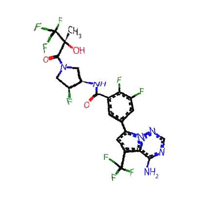 C[C@@](O)(C(=O)N1C[C@H](F)[C@H](NC(=O)c2cc(-c3cc(C(F)(F)F)c4c(N)ncnn34)cc(F)c2F)C1)C(F)(F)F